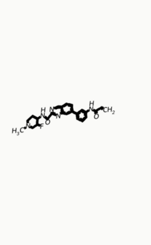 C=CC(=O)Nc1cccc(-c2ccc3cnc(C(=O)NC4CCN(C)CC4F)nc3c2)c1